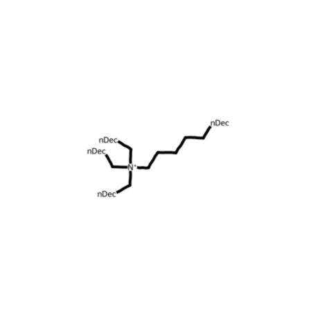 CCCCCCCCCCCCCCC[N+](CCCCCCCCCCC)(CCCCCCCCCCC)CCCCCCCCCCC